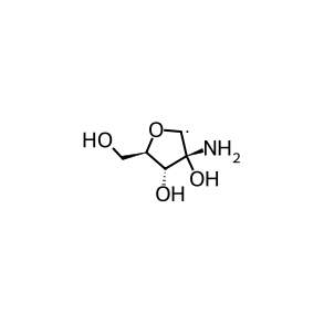 N[C@]1(O)[CH]O[C@H](CO)[C@H]1O